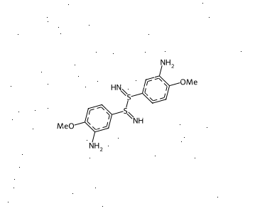 COc1ccc(S(=N)S(=N)c2ccc(OC)c(N)c2)cc1N